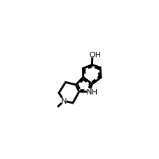 CN1CCc2c([nH]c3ccc(O)cc23)C1